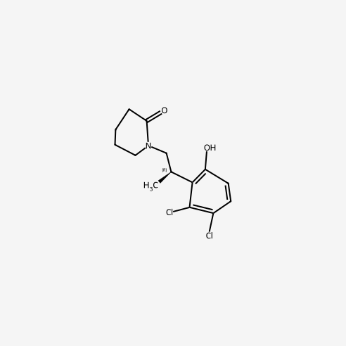 C[C@@H](CN1CCCCC1=O)c1c(O)ccc(Cl)c1Cl